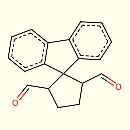 O=CC1CCC(C=O)C12c1ccccc1-c1ccccc12